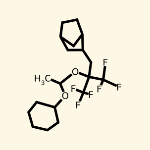 CC(OC1CCCCC1)OC(CC1CC2CCC1C2)(C(F)(F)F)C(F)(F)F